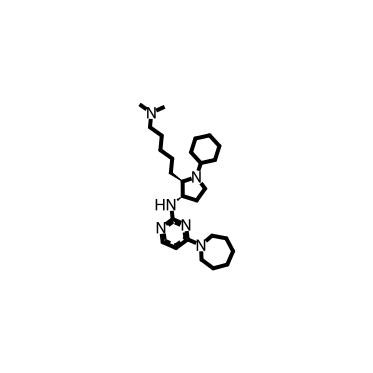 CN(C)CCCCC[C@@H]1[C@@H](Nc2nccc(N3CCCCCC3)n2)CCN1C1CCCCC1